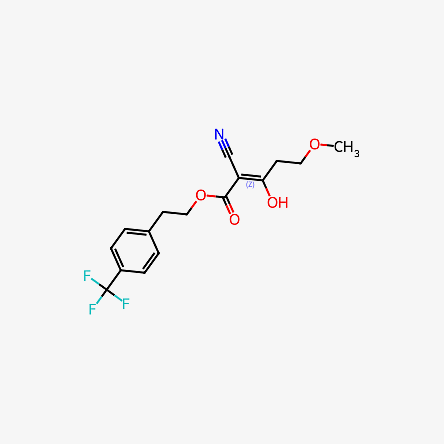 COCC/C(O)=C(\C#N)C(=O)OCCc1ccc(C(F)(F)F)cc1